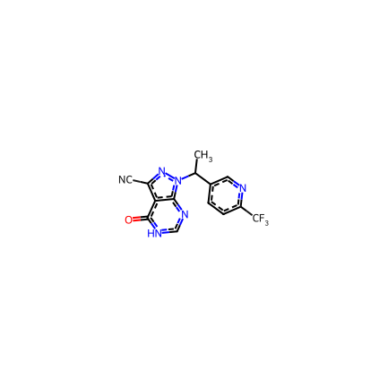 CC(c1ccc(C(F)(F)F)nc1)n1nc(C#N)c2c(=O)[nH]cnc21